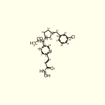 CC(=O)O.O=C(/C=C/c1cnc(N[C@@H]2CCN(Cc3cccc(Cl)c3)C2)cn1)NO